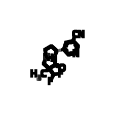 CC1(C(F)F)CN2CC[C@H](c3cncc(C#N)c3)N2C1=O